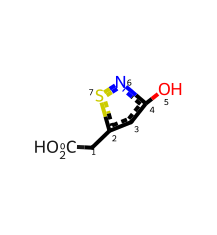 O=C(O)Cc1cc(O)ns1